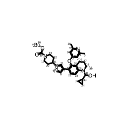 Cc1cc(Oc2c(-c3cnn(C4CCN(C(=O)OC(C)(C)C)CC4)c3)ccc3c2CC[C@H](C)N3C(O)C2CC2)cc(C)n1